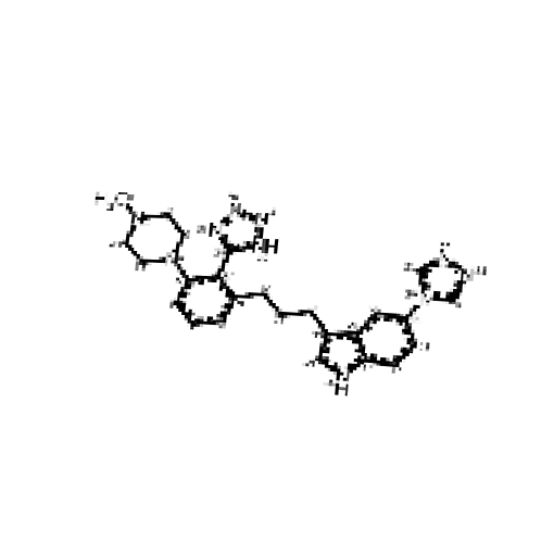 CN1CCN(c2cccc(CCCc3c[nH]c4ccc(-n5cnnc5)cc34)c2-c2nnn[nH]2)CC1